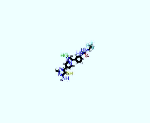 CNc1nc(C)nc(-c2ccn3c(-c4cccc(NC(=O)NCC(F)(F)F)c4)cnc3c2)c1S.Cl